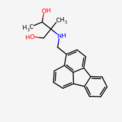 CC(O)C(C)(CO)NCc1ccc2c3c(cccc13)-c1ccccc1-2